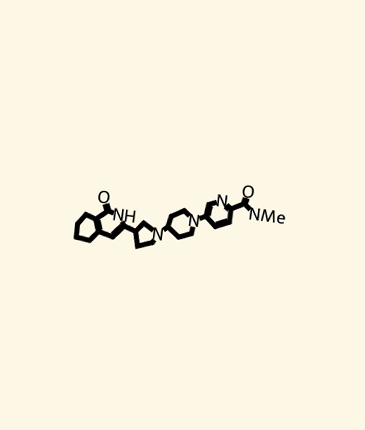 CNC(=O)c1ccc(N2CCC(N3CCC(c4cc5c(c(=O)[nH]4)CCCC5)C3)CC2)cn1